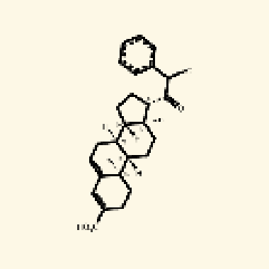 CCC(C(=O)[C@H]1CC[C@H]2[C@@H]3CC=C4C=C(C(=O)O)CC[C@]4(C)[C@H]3CC[C@]12C)c1ccccc1